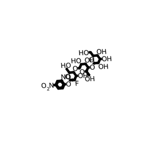 O=[N+]([O-])c1ccc(OC2OC(CO)C(OC3OC(CO)C(OC4OC(CO)C(O)C(O)C4O)C(O)[C@@H]3O)C(O)C2F)c([N+](=O)[O-])c1